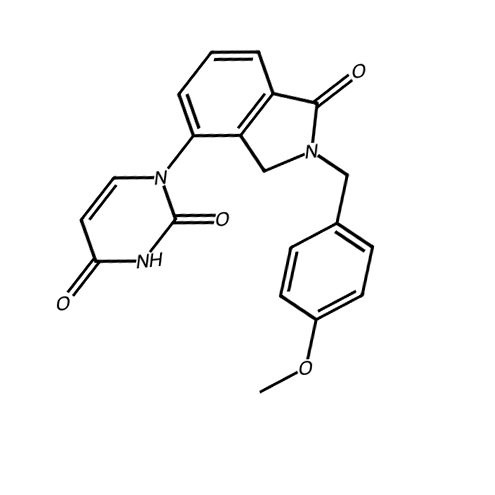 COc1ccc(CN2Cc3c(cccc3-n3ccc(=O)[nH]c3=O)C2=O)cc1